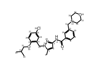 Cc1cc(NC(=O)c2cccc(CN3CCOCC3)c2)nn1Cc1cc(Cl)ccc1OCC(C)C